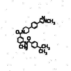 Cc1ccc(C(=O)N2CCC(c3ccc(-c4cnn(C)c4)cc3)CC2)cc1NC(=O)c1ccc(C(C)C)cc1